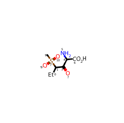 CCC(C(=O)C(N)C(=O)O)S(C)(=O)=O